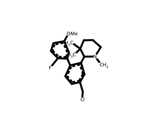 COc1ccc(F)c(-c2ccc(CCl)cc2C2N(C)CCCC2(C)C)c1